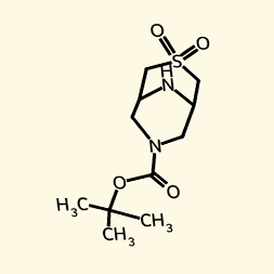 CC(C)(C)OC(=O)N1CC2CS(=O)(=O)CC(C1)N2